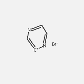 [Br-].[C+]1=CN=CC=N1